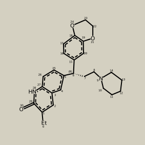 CCc1cc2cc([C@@H](CCN3CCCCC3)c3ccc4c(c3)OCCO4)ccc2[nH]c1=O